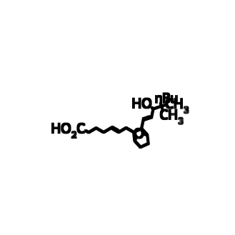 CCCCC(C)(C)C(O)C=CC1C2CCC(O2)C1CC=CCCCC(=O)O